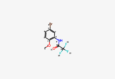 COc1ccc(Br)cc1NC(=O)C(F)(F)F